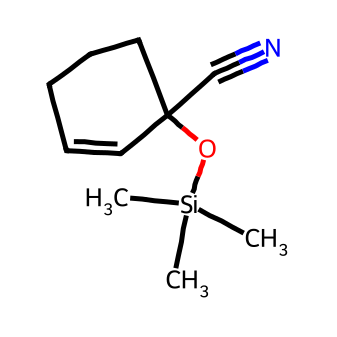 C[Si](C)(C)OC1(C#N)C=CCCC1